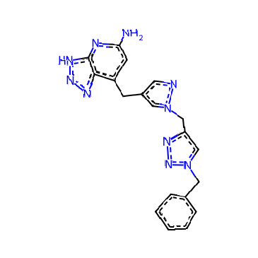 Nc1cc(Cc2cnn(Cc3cn(Cc4ccccc4)nn3)c2)c2nn[nH]c2n1